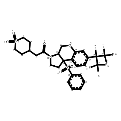 O=C(CC1CCS(=O)(=O)CC1)N1CCC2(S(=O)(=O)c3ccccc3)c3ccc(C(F)(C(F)(F)F)C(F)(F)F)cc3OCC12